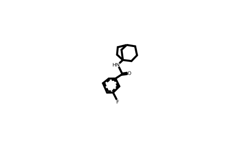 O=C(NC12CCCC(CC1)C2)c1cccc(F)c1